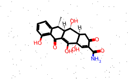 C[C@H]1c2cccc(O)c2C(=O)C2=C(O)[C@]3(O)C=C(C(N)=O)C(=O)C[C@@H]3[C@@H](O)[C@@H]21